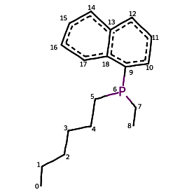 CCCCCCP(CC)c1cccc2ccccc12